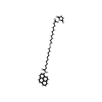 O=C(CCCCCCCCCCSSCCCCCCCCCCC(=O)ON1C(=O)CCC1=O)Nc1ccc2ccc3cccc4ccc1c2c34